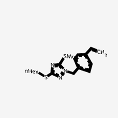 C=Cc1ccc(Cn2nc(SCCCCCC)nc2SC)cc1